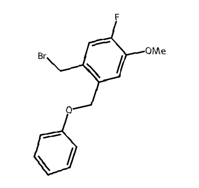 COc1cc(COc2ccccc2)c(CBr)cc1F